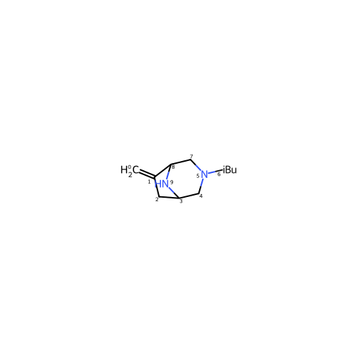 C=C1CC2CN(C(C)CC)CC1N2